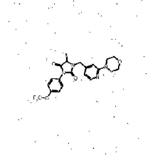 CC1C(=O)N(c2ccc(OC(F)(F)F)cc2)C(=O)N1Cc1ccnc(N2CCOCC2)c1